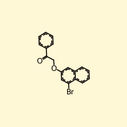 O=C(COc1cc(Br)c2ccccc2c1)c1ccccc1